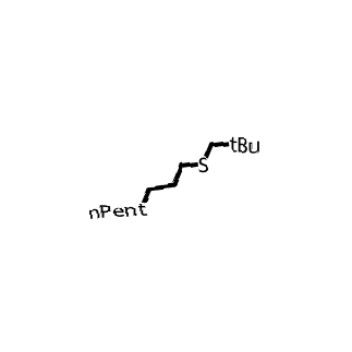 CCCCCCCCSCC(C)(C)C